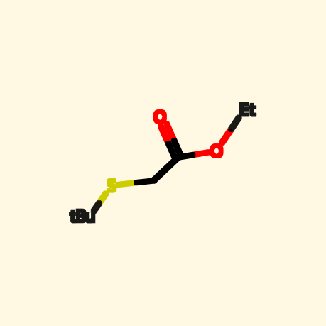 CCOC(=O)CSC(C)(C)C